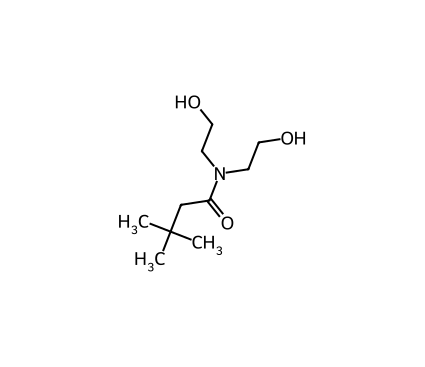 CC(C)(C)CC(=O)N(CCO)CCO